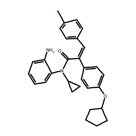 [CH]c1ccc(C=C(C(=O)N(c2ccccc2N)C2CC2)c2ccc(OC3CCCC3)cc2)cc1